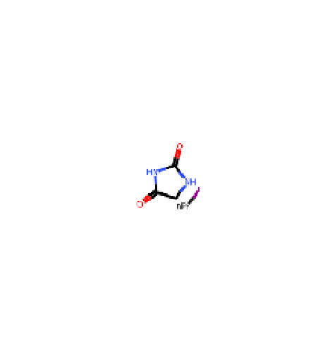 CCCI.O=C1CNC(=O)N1